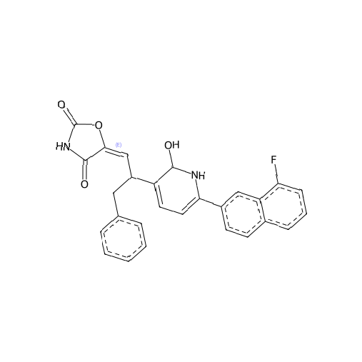 O=C1NC(=O)/C(=C\C(Cc2ccccc2)C2=CC=C(c3ccc4cccc(F)c4c3)NC2O)O1